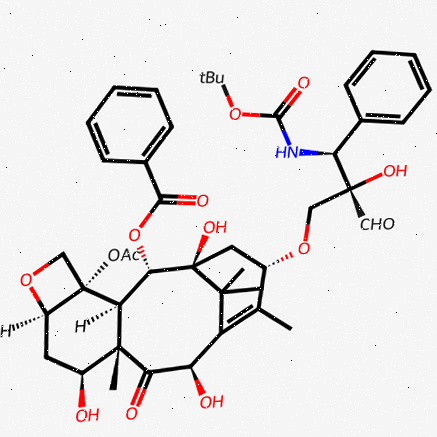 CC(=O)O[C@@]12CO[C@@H]1C[C@H](O)[C@@]1(C)C(=O)[C@H](O)C3=C(C)[C@@H](OC[C@](O)(C=O)[C@@H](NC(=O)OC(C)(C)C)c4ccccc4)C[C@@](O)([C@@H](OC(=O)c4ccccc4)[C@H]21)C3(C)C